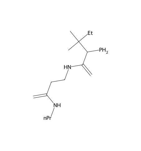 C=C(CCNC(=C)C(P)C(C)(C)CC)NCCC